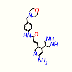 N=C/C(=C\N)C1C=C(N)N=CC1/C=C/C(=O)Nc1ccc(CN2CCOCC2)cc1